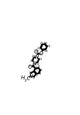 CN1Cc2cccc(C(=O)N3CCN(C(=O)Oc4ccccc4)CC3)c2C1